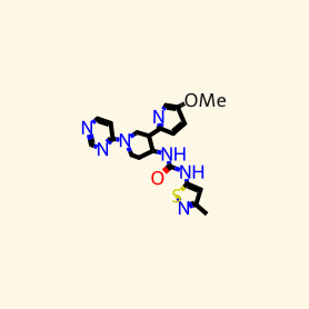 COc1ccc(C2CN(c3ccncn3)CCC2NC(=O)Nc2cc(C)ns2)nc1